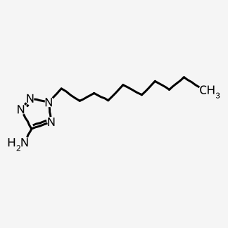 CCCCCCCCCCn1nnc(N)n1